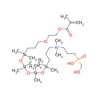 C=C(C)C(=O)OCCOCCC[Si](C)(C)O[Si](C)(C)O[Si](C)(C)O[Si](C)(C)CCC[N+](C)(C)CCCP(=O)(O)CO